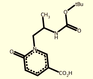 CC(Cn1cc(C(=O)O)ccc1=O)NC(=O)OC(C)(C)C